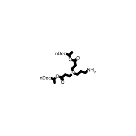 CCCCCCCCCCC(C)OC(=O)CCN(CCCN)CCC(=O)OC(C)CCCCCCCCCC